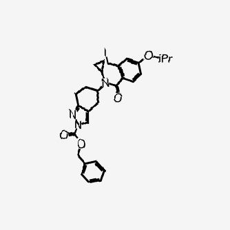 CC(C)Oc1ccc(C(=O)N(C2CC2)C2CCc3nn(C(=O)OCc4ccccc4)cc3C2)c(CI)c1